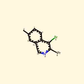 Cc1ccc2c(Br)c(C(C)C)ncc2c1